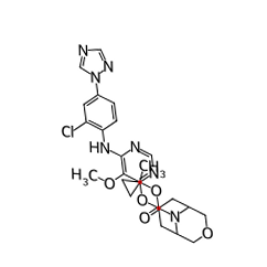 COc1c(Nc2ccc(-n3cncn3)cc2Cl)ncnc1OC1CC2COCC(C1)N2C(=O)OC1(C)CC1